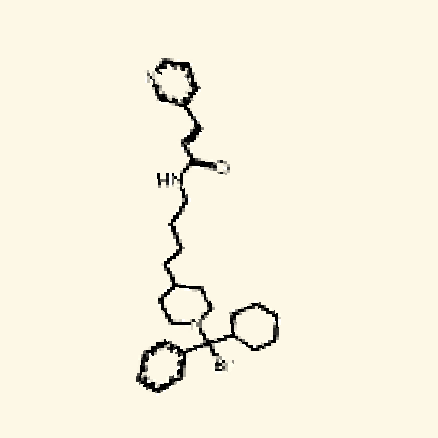 O=C(C=Cc1cccnc1)NCCCCC1CCN(C(Br)(c2ccccc2)C2CCCCC2)CC1